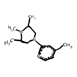 Cc1ccnc(N2CC(C)N(C)C(C)C2)c1